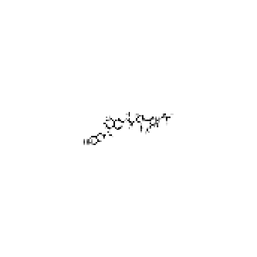 CN(C(=O)c1ccc(NC(=O)c2ncc(-c3cn(C4CC4(F)F)nc3C(F)(F)F)n2C)cc1Cl)C1CC2CNCC2C1